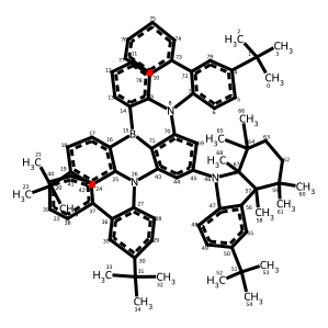 CC(C)(C)c1ccc(N2c3ccccc3B3c4ccc(C(C)(C)C)cc4N(c4ccc(C(C)(C)C)cc4-c4ccccc4)c4cc(N5c6ccc(C(C)(C)C)cc6C6(C)C(C)(C)CCC(C)(C)C56C)cc2c43)c(-c2ccccc2)c1